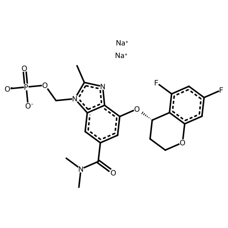 Cc1nc2c(O[C@H]3CCOc4cc(F)cc(F)c43)cc(C(=O)N(C)C)cc2n1COP(=O)([O-])[O-].[Na+].[Na+]